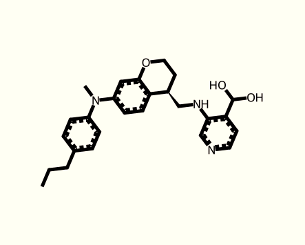 CCCc1ccc(N(C)c2ccc3c(c2)OCC[C@H]3CNc2cnccc2C(O)O)cc1